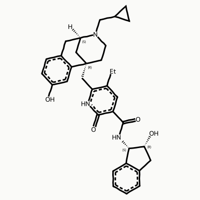 CCc1cc(C(=O)N[C@H]2c3ccccc3C[C@H]2O)c(=O)[nH]c1C[C@]12CCN(CC3CC3)[C@H](Cc3ccc(O)cc31)C2